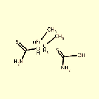 CC.CCCC.NC(O)=S.NC(O)=S